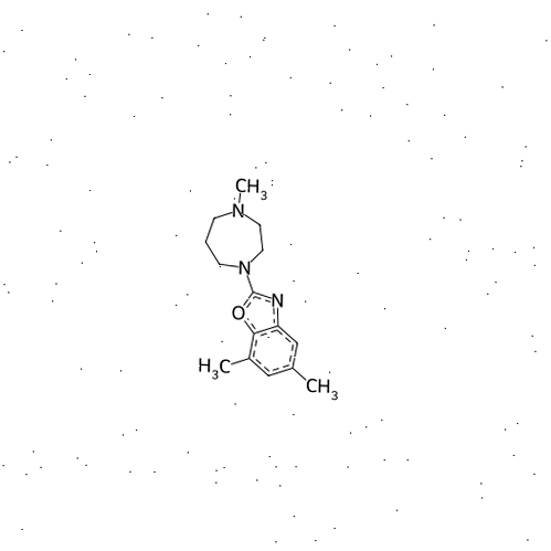 Cc1cc(C)c2oc(N3CCCN(C)CC3)nc2c1